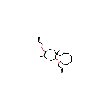 C=CCOC1CCC(C)(C2CCCCCCC2)C(OCC=C)CCC1C